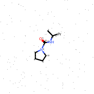 CC(C)C(C)NC(=O)N1CCCC1